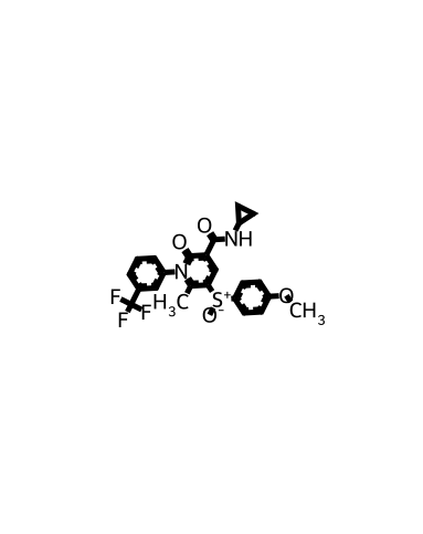 COc1ccc([S+]([O-])c2cc(C(=O)NC3CC3)c(=O)n(-c3cccc(C(F)(F)F)c3)c2C)cc1